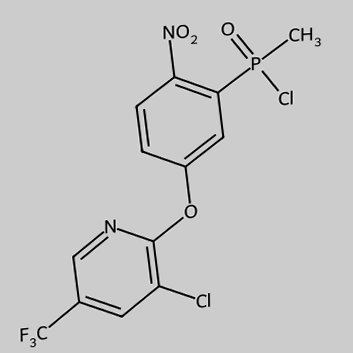 CP(=O)(Cl)c1cc(Oc2ncc(C(F)(F)F)cc2Cl)ccc1[N+](=O)[O-]